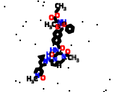 CCCOC(=O)[C@H](C)NP(=O)(Cc1ccc2ccc(C(=O)N[C@H]3CN(C(C)=O)CC[C@H]4CC[C@@H](NN5CC(c6ccn(C)c(=O)c6)CC56CC6)N4C3=O)cc2c1)Oc1ccccc1